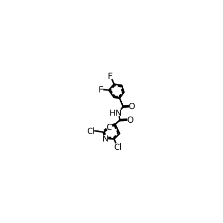 O=C(NC(=O)c1ccc(F)c(F)c1)c1cc(Cl)nc(Cl)c1